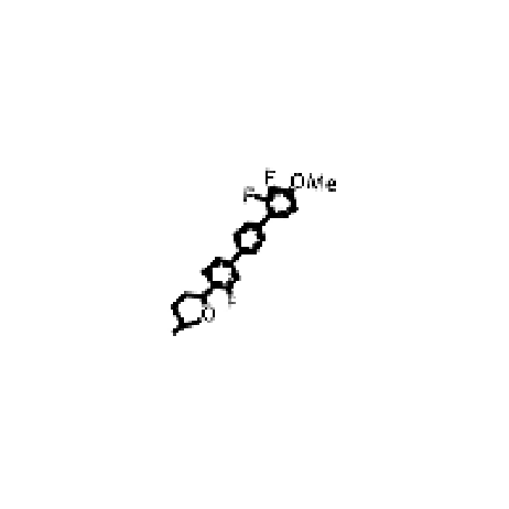 COc1ccc(-c2ccc(-c3ccc(C4CCC(C)CO4)c(F)c3)cc2)c(F)c1F